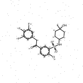 CC1(O)CCC(NS(=O)(=O)c2cc(C(=O)Cc3cc(F)c(F)c(F)c3)ccc2Cl)CC1